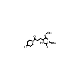 CC(C)(C)OC(=O)NC(CCC(=O)N1CCC(=O)CC1)C(=O)OC(C)(C)C